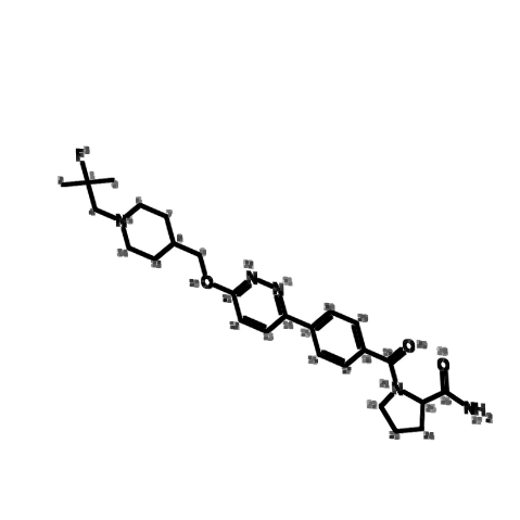 CC(C)(F)CN1CCC(COc2ccc(-c3ccc(C(=O)N4CCCC4C(N)=O)cc3)nn2)CC1